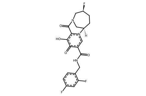 O=C(NCc1ccc(F)cc1F)c1cn2c(c(O)c1=O)C(=O)N1C[C@@H](F)CC[C@@H]2C1